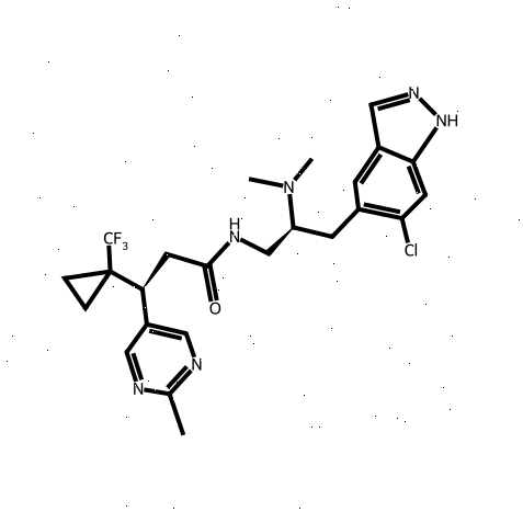 Cc1ncc([C@H](CC(=O)NC[C@H](Cc2cc3cn[nH]c3cc2Cl)N(C)C)C2(C(F)(F)F)CC2)cn1